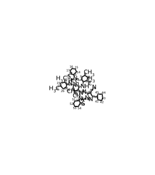 Cc1cc(C)c(Nc2nc(N(c3nc4ccccc4s3)c3c(C)cc(C)cc3C)cc(C)c2/N=N/c2c(C#N)c(-c3ccccc3)nn2-c2nc3ccccc3s2)c(C)c1